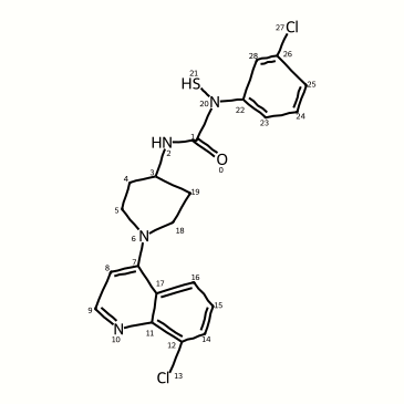 O=C(NC1CCN(c2ccnc3c(Cl)cccc23)CC1)N(S)c1cccc(Cl)c1